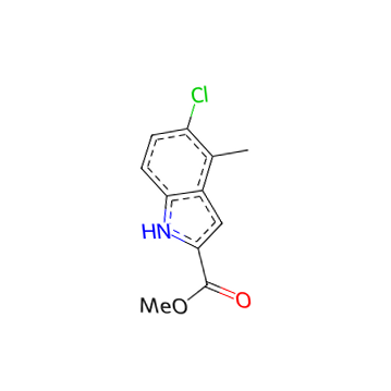 COC(=O)c1cc2c(C)c(Cl)ccc2[nH]1